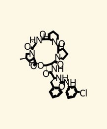 C[C@@H]1C[C@H]2C(=O)O[C@@H](C)[C@H](NC(=O)[C@H](Cc3ccccc3)NC(=O)Nc3cccc(Cl)c3)C(=O)N3CCC[C@H]3C(=O)N3CCCC[C@H]3C(=O)N[C@@H](C)C(=O)N2C1